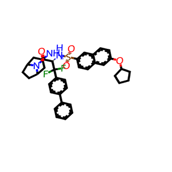 NC1CC2CCC(C1)N2C(=O)[C@H](NS(=O)(=O)c1ccc2cc(OC3CCCC3)ccc2c1)C(F)(F)c1ccc(-c2ccccc2)cc1